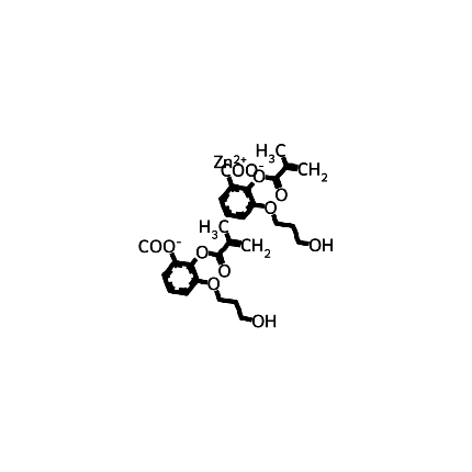 C=C(C)C(=O)Oc1c(OCCCO)cccc1C(=O)[O-].C=C(C)C(=O)Oc1c(OCCCO)cccc1C(=O)[O-].[Zn+2]